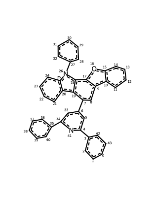 c1ccc(-c2cc(-c3cc4c5ccccc5oc4c4c3c3ccccc3n4-c3ccccc3)cc(-c3ccccc3)n2)cc1